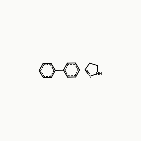 C1=NNCC1.c1ccc(-c2ccccc2)cc1